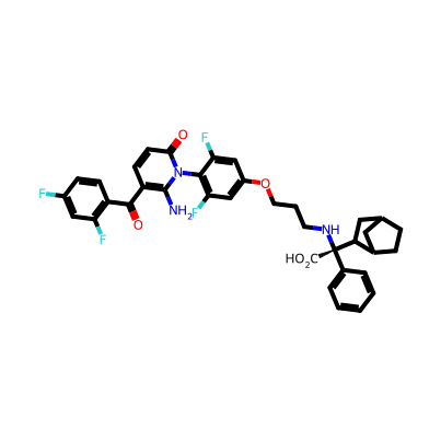 Nc1c(C(=O)c2ccc(F)cc2F)ccc(=O)n1-c1c(F)cc(OCCCN[C@@](C(=O)O)(c2ccccc2)C2CC3CCC2C3)cc1F